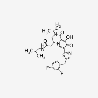 CC(C)CNC(=O)CC1CN(C(C)C)C(=O)c2c(O)c(=O)c(-c3ncc(Cc4ccc(F)cc4F)s3)cn21